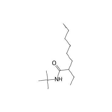 CCCCCCC(CC)C(=O)NC(C)(C)C